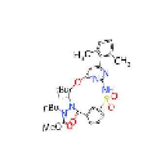 CCCCN(C(=O)OC)N1C(=O)c2cccc(c2)S(=O)(=O)Nc2nc(cc(-c3c(C)cccc3C)n2)OC[C@H]1CC(C)(C)C